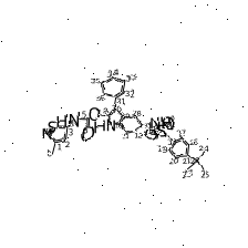 Cc1cc(NC(=O)Oc2[nH]c3ccc(NS(=O)(=O)c4ccc(C(C)(C)C)cc4)cc3c2-c2ccccc2)sn1